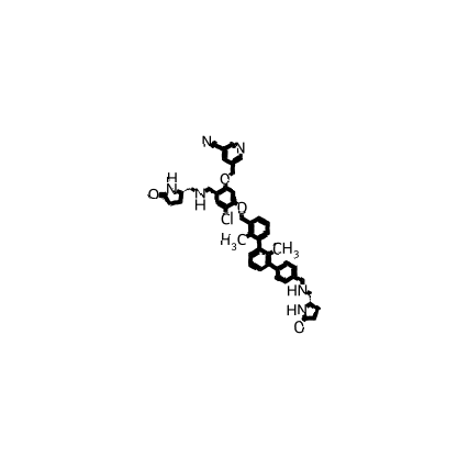 Cc1c(COc2cc(OCc3cncc(C#N)c3)c(CNC[C@@H]3CCC(=O)N3)cc2Cl)cccc1-c1cccc(-c2ccc(CNC[C@@H]3CCC(=O)N3)cc2)c1C